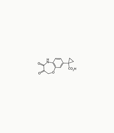 O=C1COc2cc(C3(C(=O)O)CC3)ccc2NC1=O